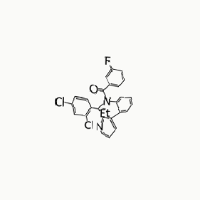 CC[C@@H](c1ccc(Cl)cc1Cl)N(C(=O)c1cccc(F)c1)c1ccccc1-c1cccnc1